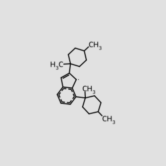 CC1CCC(C)(C2=Cc3cccc(C4(C)CCC(C)CC4)c3[CH]2)CC1